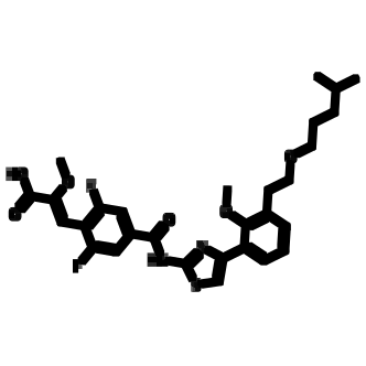 COC(=Cc1c(F)cc(C(=O)Nc2nc(-c3cccc(CCOCCCC(C)C)c3OC)cs2)cc1F)C(=O)O